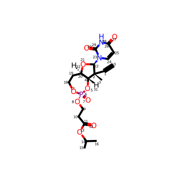 C#C[C@]1(C)[C@@H]2O[P@](=O)(OCCC(=O)OC(C)C)OCC[C@H]2O[C@H]1n1ccc(=O)[nH]c1=O